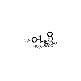 COC(=O)C(Cc1ccccc1)NC(=O)C(CC(=O)O)NC(=O)Nc1ccc([N+](=O)[O-])cc1